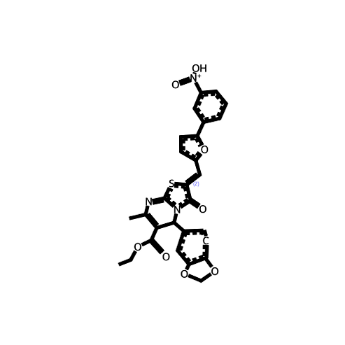 CCOC(=O)C1=C(C)N=c2s/c(=C\c3ccc(-c4cccc([N+](=O)O)c4)o3)c(=O)n2C1c1ccc2c(c1)OCO2